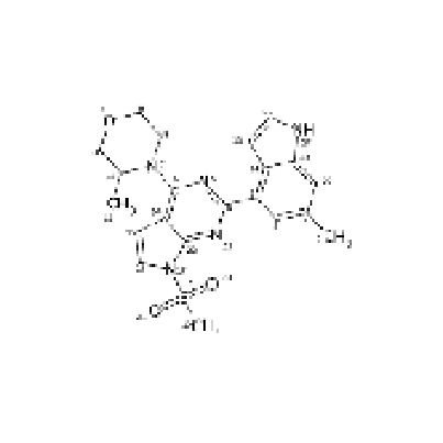 Cc1cc(-c2nc(N3CCOCC3C)c3ccn(S(C)(=O)=O)c3n2)c2cc[nH]c2c1